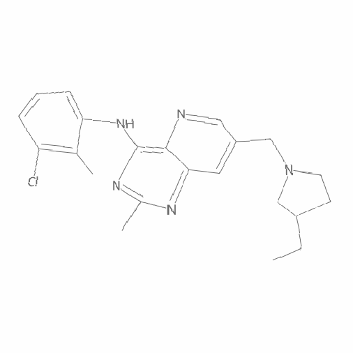 CCC1CCN(Cc2cnc3c(Nc4cccc(Cl)c4C)nc(C)nc3c2)C1